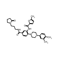 Cc1ccc(C(=O)Nc2cc(C(=O)NCCCN3CCCC3=O)ccc2N2CCN(c3ccc(C)c(C)c3)CC2)o1